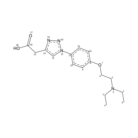 CCN(CC)CCOc1ccc(-n2cc(CC(=O)O)nn2)cc1